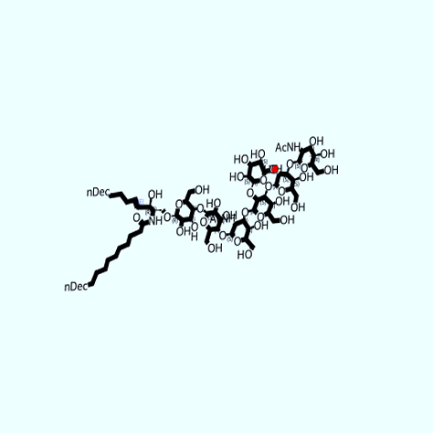 CCCCCCCCCCCCC/C=C/[C@@H](O)[C@H](CO[C@@H]1OC(CO)[C@@H](O[C@@H]2OC(CO)[C@H](O[C@@H]3OC(CO)[C@H](O)[C@H](O[C@@H]4OC(CO)[C@H](O)[C@H](O[C@H]5OC(CO)[C@H](O)[C@H](O[C@@H]6OC(CO)[C@H](O)[C@H](O)C6NC(C)=O)C5O)C4O[C@H]4OC(C)[C@@H](O)C(O)[C@@H]4O)C3NC(C)=O)[C@H](O)C2O)[C@H](O)C1O)NC(=O)CCCCCCCCCCCCCCCCCCC